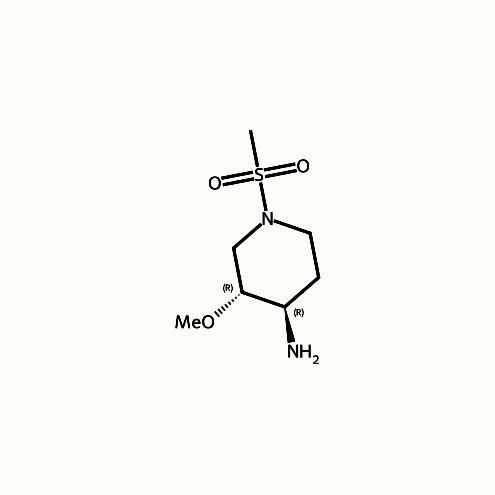 CO[C@@H]1CN(S(C)(=O)=O)CC[C@H]1N